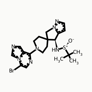 CC(C)(C)[S@@+]([O-])N[C@@H]1c2ccnn2CC12CCN(c1ncc(Br)n3cncc13)CC2